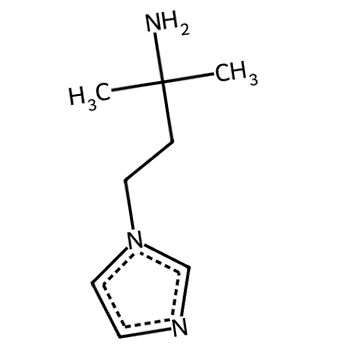 CC(C)(N)CCn1ccnc1